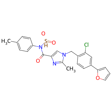 Cc1ccc(N(C(=O)c2cn(Cc3ccc(-c4ccco4)cc3Cl)c(C)n2)[SH](=O)=O)cc1